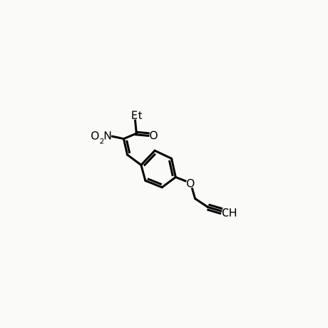 C#CCOc1ccc(C=C(C(=O)CC)[N+](=O)[O-])cc1